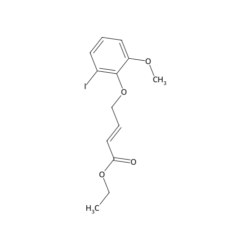 CCOC(=O)C=CCOc1c(I)cccc1OC